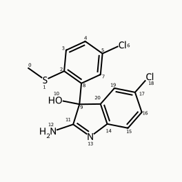 CSc1ccc(Cl)cc1C1(O)C(N)=Nc2ccc(Cl)cc21